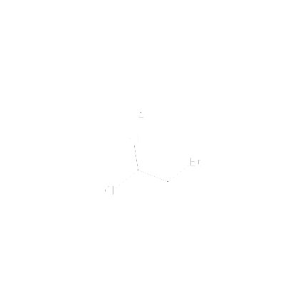 CCCC(Cl)Cl.[Al]